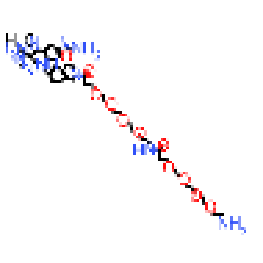 C/N=C(/c1ccc2oc(N)nc2c1)c1c(N)ncnc1NCc1ccc2c(c1)CCN(C(=O)CCOCCOCCOCCOCCNC(=O)CCOCCOCCOCCOCCN)C2